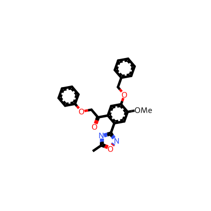 COc1cc(-c2noc(C)n2)c(C(=O)COc2ccccc2)cc1OCc1ccccc1